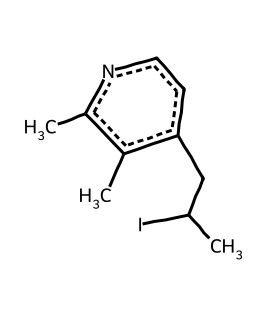 Cc1nccc(CC(C)I)c1C